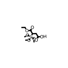 CCOC(=O)C(CC(=O)O)[Si](OC)(OC)OC